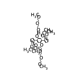 COCCOCCOCCOc1cc(-c2cccn2C(=O)OC(C)(C)C)c(OCCOCCOCCOC)cc1-c1cccn1C(=O)OC(C)(C)C